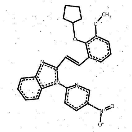 COc1cccc(/C=C/c2nc3ccccc3n2-c2ccc([N+](=O)[O-])cn2)c1OC1CCCC1